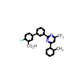 Cc1ccccc1-c1cc(C(F)(F)F)nc(-c2cccc(-c3ccc(F)c(C(=O)O)c3)c2)n1